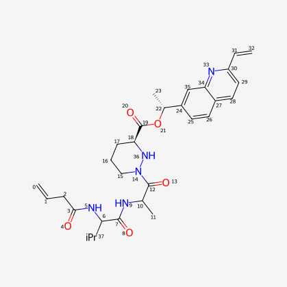 C=CCC(=O)NC(C(=O)NC(C)C(=O)N1CCC[C@@H](C(=O)O[C@H](C)c2ccc3ccc(C=C)nc3c2)N1)C(C)C